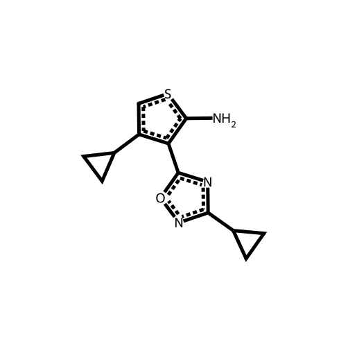 Nc1scc(C2CC2)c1-c1nc(C2CC2)no1